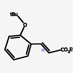 CCOC(=O)/C=C/c1ccccc1OC(C)(C)C